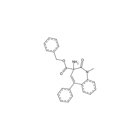 CN1C(=O)C(N)(C(=O)OCc2ccccc2)C=C(c2ccccc2)c2ccccc21